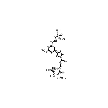 CCCCC[C@@H](C(=O)NCNC(=O)c1ccc(-c2cc(CNCP(=O)(OCC)OCC)cc(OCC)c2)o1)[C@@H](CC)N(O)C=O